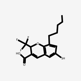 CCCCCc1cc(S)cc2c1OC(C(F)(F)F)C(C(=O)O)=C2